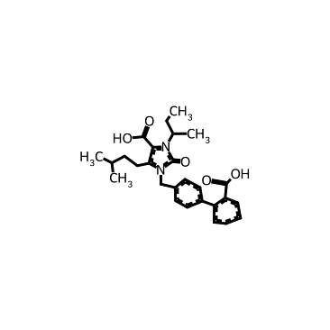 CCC(C)n1c(C(=O)O)c(CCC(C)C)n(Cc2ccc(-c3ccccc3C(=O)O)cc2)c1=O